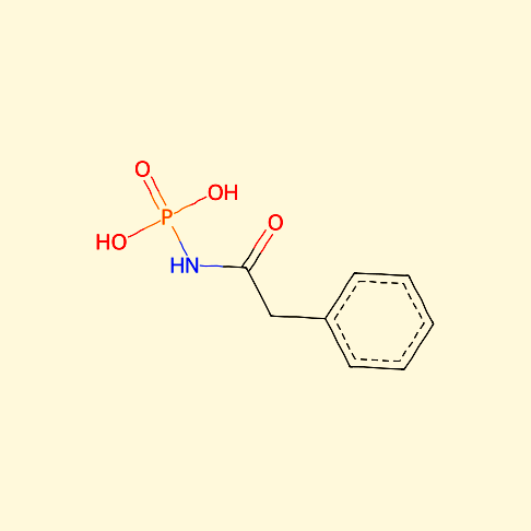 O=C(Cc1ccccc1)NP(=O)(O)O